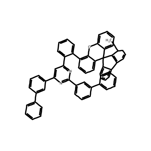 CC1CC=CC2=C1C1(c3ccccc3Oc3c(-c4ccccc4-c4cc(-c5cccc(-c6ccccc6)c5)nc(-c5cccc(-c6ccccc6)c5)n4)cccc31)c1ccccc12